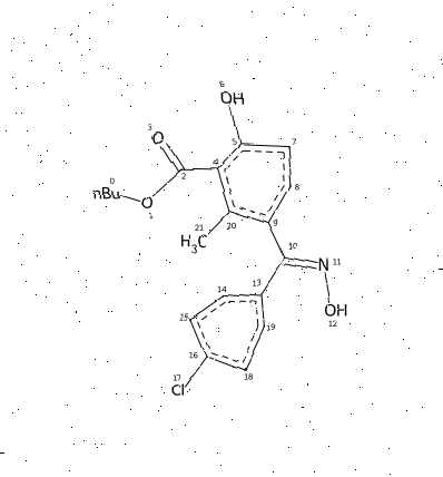 CCCCOC(=O)c1c(O)ccc(C(=NO)c2ccc(Cl)cc2)c1C